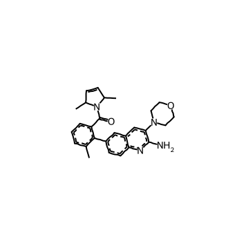 Cc1cccc(C(=O)N2C(C)C=CC2C)c1-c1ccc2nc(N)c(N3CCOCC3)cc2c1